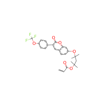 C=CC(=O)OC(C)(C)CC(C)(C)Oc1ccc2cc(-c3ccc(OC(F)(F)F)cc3)c(=O)oc2c1